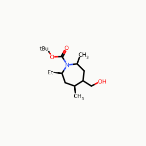 CCC1CC(C)C(CO)CC(C)N1C(=O)OC(C)(C)C